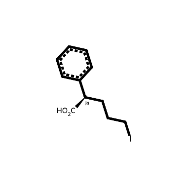 O=C(O)[C@H](CCCI)c1ccccc1